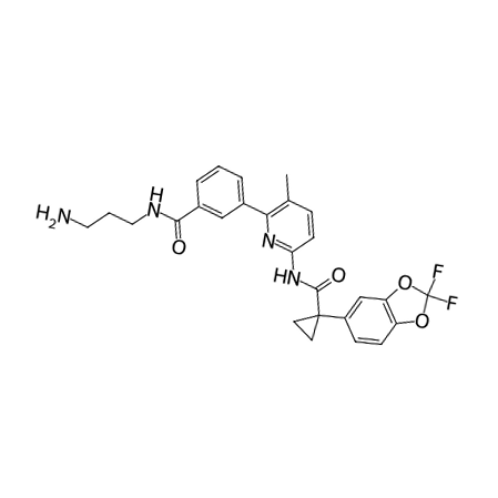 Cc1ccc(NC(=O)C2(c3ccc4c(c3)OC(F)(F)O4)CC2)nc1-c1cccc(C(=O)NCCCN)c1